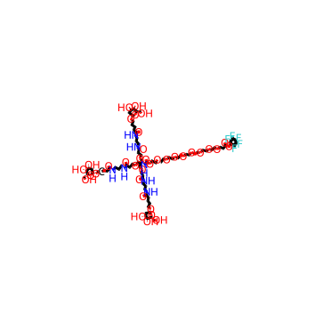 O=C(CCCCO[C@H]1C[C@@H](O)[C@@H](O)[C@@H](CO)O1)NCCCNC(=O)CCOCC(COCCC(=O)NCCCNC(=O)CCCCO[C@H]1C[C@@H](O)[C@@H](O)[C@@H](CO)O1)(COCCC(=O)NCCCNC(=O)CCCCO[C@H]1C[C@@H](O)[C@@H](O)[C@@H](CO)O1)NC(=O)OCCOCCOCCOCCOCCOCCOCCOCCOCCC(=O)Oc1c(F)c(F)c(F)c(F)c1F